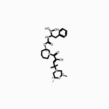 C[C@@H]1CN(C(C)(C)C=C(C#N)C(=O)N2CCCC[C@@H](OC(=O)NC(Cc3ccccc3)B(O)O)C2)C[C@@H](C)O1